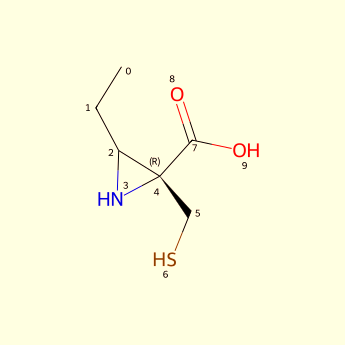 CCC1N[C@@]1(CS)C(=O)O